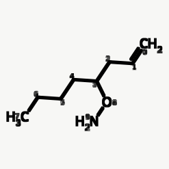 C=CCC(CCCC)ON